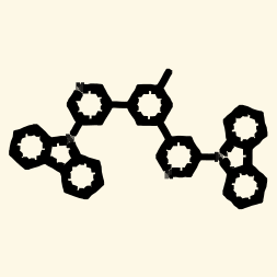 Cc1cc(-c2cncc(-n3c4ccccc4c4ccccc43)c2)cc(-c2cncc(-n3c4ccccc4c4ccccc43)c2)c1